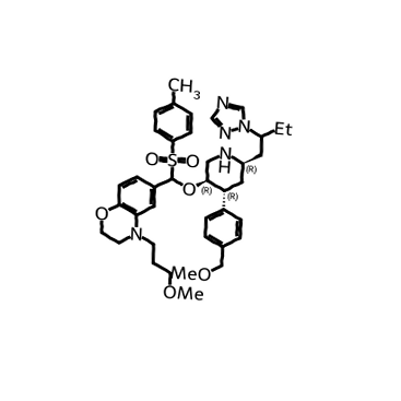 CCC(C[C@H]1C[C@H](c2ccc(COC)cc2)[C@@H](OC(c2ccc3c(c2)N(CCCOC)CCO3)S(=O)(=O)c2ccc(C)cc2)CN1)n1cncn1